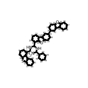 NC(NC(NCc1cccc2sc3ccccc3c12)c1cccc2c1oc1ccc(-c3ccc4oc5ccccc5c4c3)cc12)c1ccccc1